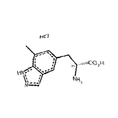 Cc1cc(C[C@@H](N)C(=O)O)cc2cn[nH]c12.Cl